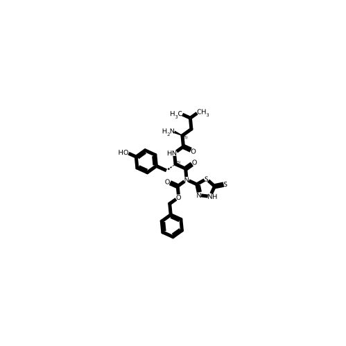 CC(C)C[C@H](N)C(=O)N[C@@H](Cc1ccc(O)cc1)C(=O)N(C(=O)OCc1ccccc1)c1n[nH]c(=S)s1